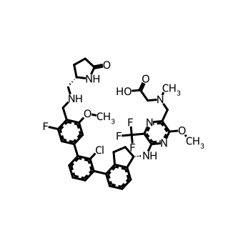 COc1cc(-c2cccc(-c3cccc4c3CC[C@@H]4Nc3nc(OC)c(CN(C)CC(=O)O)nc3C(F)(F)F)c2Cl)cc(F)c1CNC[C@@H]1CCC(=O)N1